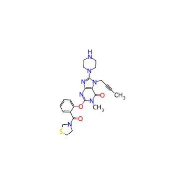 CC#CCn1c(N2CCNCC2)nc2nc(Oc3ccccc3C(=O)N3CCSC3)n(C)c(=O)c21